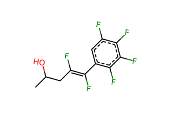 CC(O)CC(F)=C(F)c1cc(F)c(F)c(F)c1F